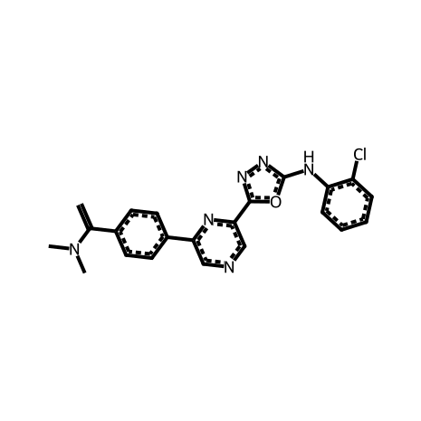 C=C(c1ccc(-c2cncc(-c3nnc(Nc4ccccc4Cl)o3)n2)cc1)N(C)C